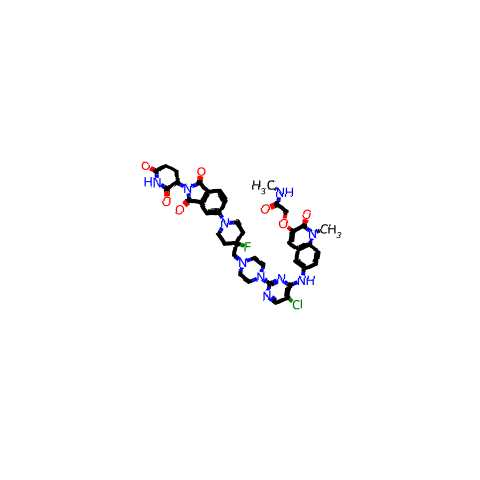 CNC(=O)COc1cc2cc(Nc3nc(N4CCN(CC5(F)CCN(c6ccc7c(c6)C(=O)N(C6CCC(=O)NC6=O)C7=O)CC5)CC4)ncc3Cl)ccc2n(C)c1=O